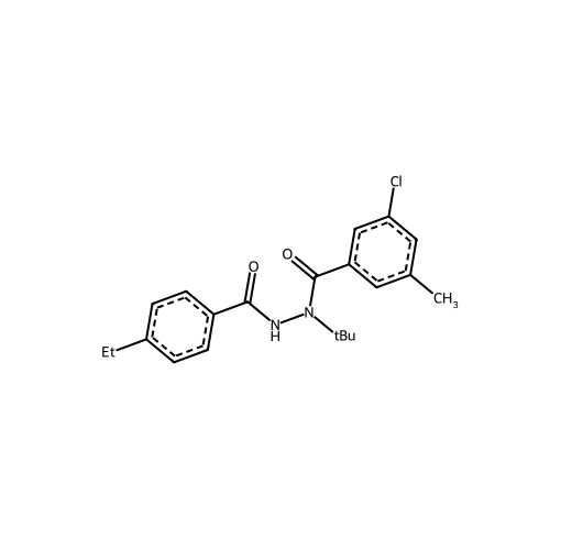 CCc1ccc(C(=O)NN(C(=O)c2cc(C)cc(Cl)c2)C(C)(C)C)cc1